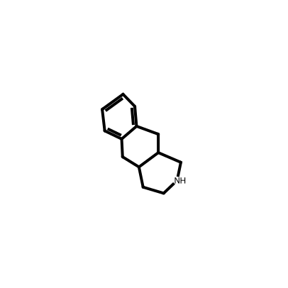 c1ccc2c(c1)CC1CCNCC1C2